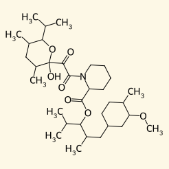 COC1CC(CC(C)C(OC(=O)C2CCCCN2C(=O)C(=O)C2(O)OC(C(C)C)C(C)CC2C)C(C)C)CCC1C